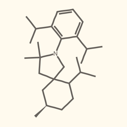 CC(C)c1cccc(C(C)C)c1N1CC2(C[C@H](C)CCC2C(C)C)CC1(C)C